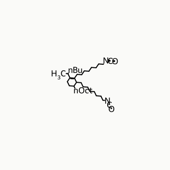 CCCCCCCCC1CCC(C(C)CCCC)=C(CCCCCCCCN=C=O)C1CCCCCCCCN=C=O